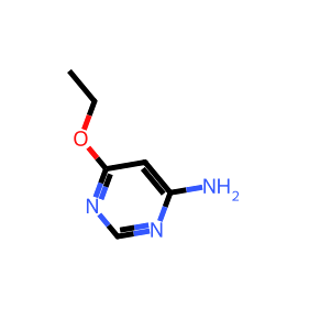 CCOc1cc(N)ncn1